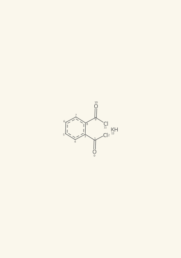 O=C(Cl)c1ccccc1C(=O)Cl.[KH]